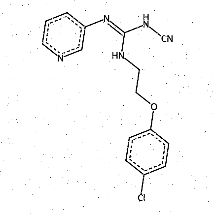 N#CNC(=Nc1cccnc1)NCCOc1ccc(Cl)cc1